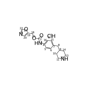 Cl.O=C(Nc1ccc(CC2CCNCC2)cc1)OCc1cnco1